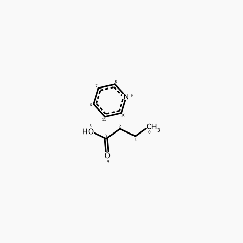 CCCC(=O)O.c1ccncc1